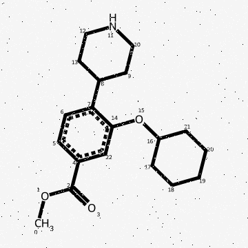 COC(=O)c1ccc(C2CCNCC2)c(OC2CCCCC2)c1